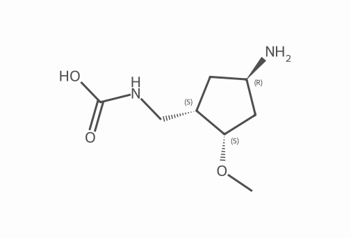 CO[C@H]1C[C@H](N)C[C@H]1CNC(=O)O